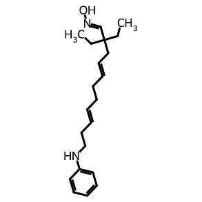 CCC(/C=N/O)(CC)C/C=C/CC/C=C/CCNc1ccccc1